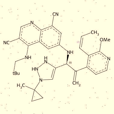 C=C(c1ccnc(OC)c1/C=C\C)[C@H](Nc1cc(C#N)c2ncc(C#N)c(NCC(C)(C)C)c2c1)C1=CN(C2(C)CC2)NN1